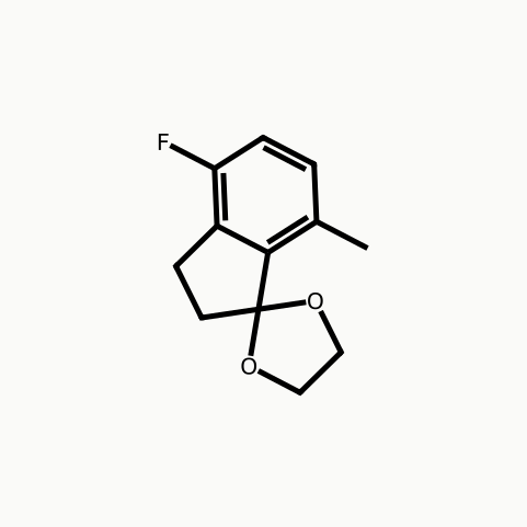 Cc1ccc(F)c2c1C1(CC2)OCCO1